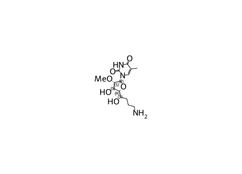 CO[C@H]1[C@@H](O)[C@@H]([C@@H](O)CCCN)O[C@H]1n1cc(C)c(=O)[nH]c1=O